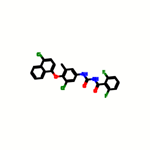 Cc1cc(NC(=O)NC(=O)c2c(F)cccc2F)cc(Cl)c1Oc1ccc(Cl)c2ccccc12